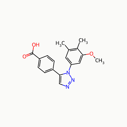 COc1cc(-n2nncc2-c2ccc(C(=O)O)cc2)cc(C)c1C